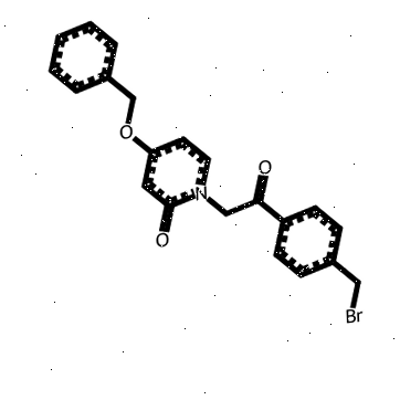 O=C(Cn1ccc(OCc2ccccc2)cc1=O)c1ccc(CBr)cc1